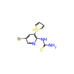 NC(=S)Nc1ncc(Br)cc1[SH]1C=CC=C1